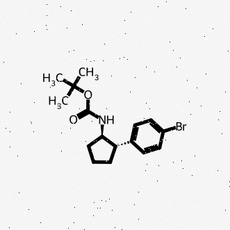 CC(C)(C)OC(=O)N[C@@H]1CCC[C@H]1c1ccc(Br)cc1